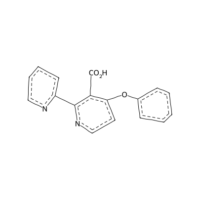 O=C(O)c1c(Oc2ccccc2)ccnc1-c1ccccn1